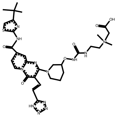 CC(C)(C)c1csc(NC(=O)c2ccn3c(=O)c(C=Cc4nnn[nH]4)c(N4CCCC(ONC(=O)NCC[N+](C)(C)CC(=O)O)C4)nc3c2)n1